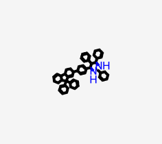 C1=CCCC(C2(C3=CC=CCC3)C3=CC(C4C=CC(C5NC(C6C=CCCC6)NC(C6C=CCCC6)C5c5ccccc5)=CC4)CCC3C3C=CCCC32)=C1